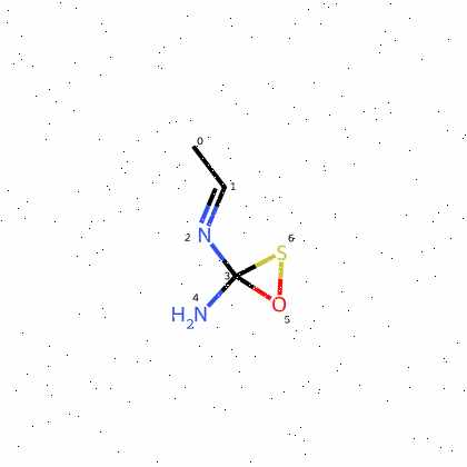 CC=NC1(N)OS1